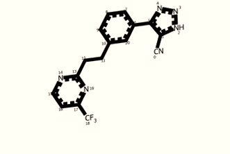 N#Cc1[nH]nnc1-c1cccc(CCc2nccc(C(F)(F)F)n2)c1